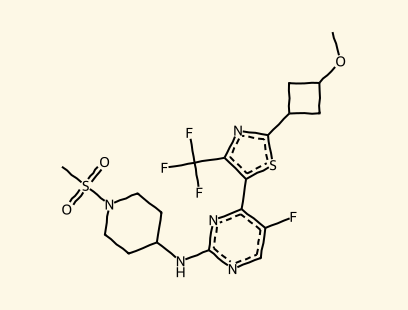 COC1CC(c2nc(C(F)(F)F)c(-c3nc(NC4CCN(S(C)(=O)=O)CC4)ncc3F)s2)C1